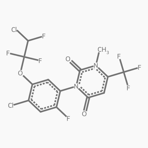 Cn1c(C(F)(F)F)cc(=O)n(-c2cc(OC(F)(F)C(F)Cl)c(Cl)cc2F)c1=O